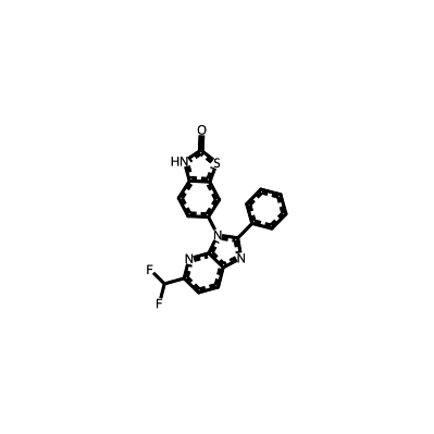 O=c1[nH]c2ccc(-n3c(-c4ccccc4)nc4ccc(C(F)F)nc43)cc2s1